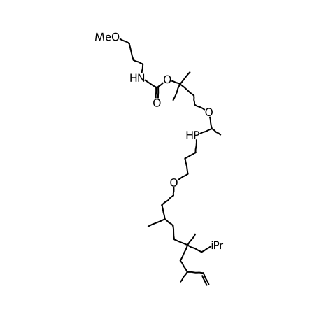 C=CC(C)CC(C)(CCC(C)CCOCCCPC(C)OCCC(C)(C)OC(=O)NCCCOC)CC(C)C